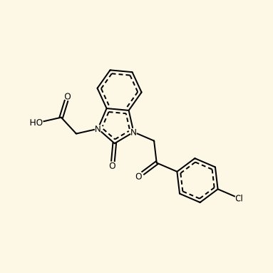 O=C(O)Cn1c(=O)n(CC(=O)c2ccc(Cl)cc2)c2ccccc21